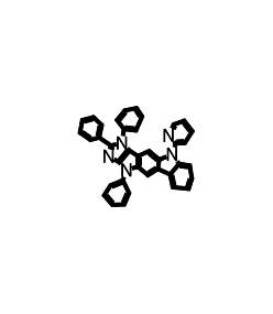 c1ccc(-c2nc3c(c4cc5c(cc4n3-c3ccccc3)c3ccccc3n5-c3ccccn3)n2-c2ccccc2)cc1